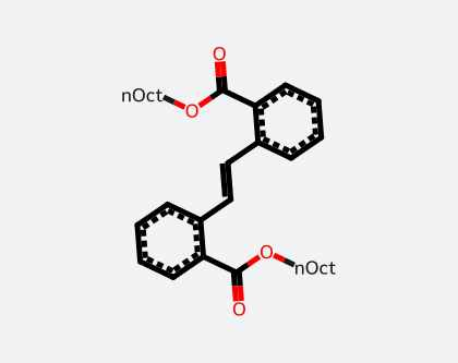 CCCCCCCCOC(=O)c1ccccc1C=Cc1ccccc1C(=O)OCCCCCCCC